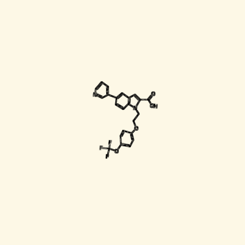 O=C(O)c1cc2cc(-c3cccnc3)ccc2n1CCOc1ccc(OC(F)(F)F)cc1